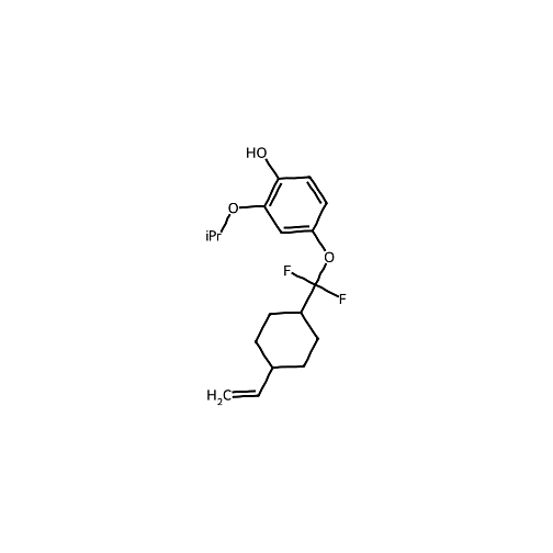 C=CC1CCC(C(F)(F)Oc2ccc(O)c(OC(C)C)c2)CC1